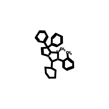 Cc1ccccc1N1C(C2CCCCC2)N2C=CC(c3ccccc3)(c3ccccc3)C2[C@@H]1C